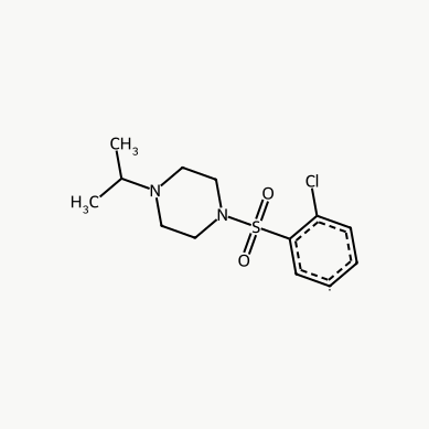 CC(C)N1CCN(S(=O)(=O)c2c[c]ccc2Cl)CC1